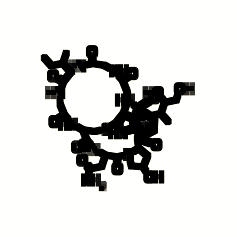 CCC(C)C1NC(=O)CNC(=O)C2Cc3c([nH]c4ccccc34)SCC(NC(=O)CNC1=O)C(=O)NC(CC(N)=O)C(=O)N1CC(O)CC1C(=O)NC(C(C)C(O)CO)C(=O)N2